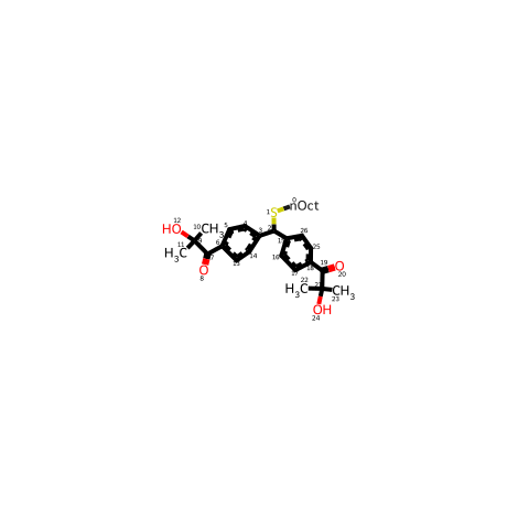 CCCCCCCCSC(c1ccc(C(=O)C(C)(C)O)cc1)c1ccc(C(=O)C(C)(C)O)cc1